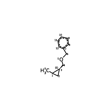 CC1C[C@@H]1COCc1ccccc1